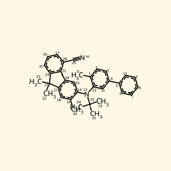 Cc1ccc(-c2ccccc2)cc1N(c1cc2c(cc1C)C(C)(C)c1cccc(C#N)c1-2)C(C)(C)C